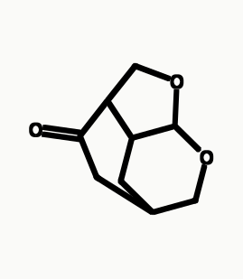 O=C1CC2COC3OCC1C3C2